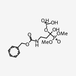 COP(=O)(OC)C(O)(CCNC(=O)OCc1ccccc1)O[PH](=O)O